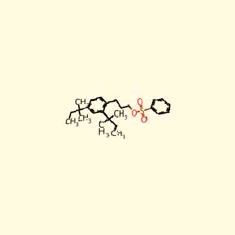 CCC(C)(C)c1ccc(CCCOS(=O)(=O)c2ccccc2)c(C(C)(C)CC)c1